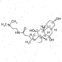 C[C@H](CCC(=O)NCCN(C)C)[C@H]1CC[C@H]2[C@@H]3[C@H](O)C[C@@H]4C[C@H](O)CC[C@]4(C)[C@H]3C[C@H](O)[C@]12C